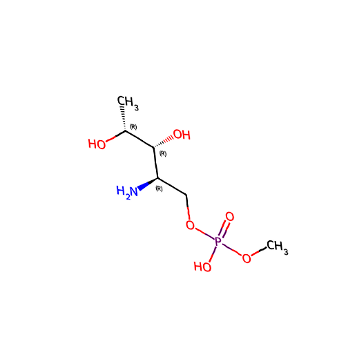 COP(=O)(O)OC[C@@H](N)[C@@H](O)[C@@H](C)O